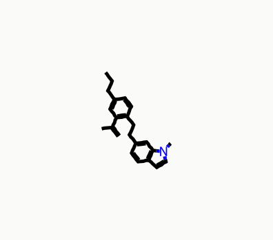 C=C(C)c1cc(CCC)ccc1CCc1ccc2ccn(C)c2c1